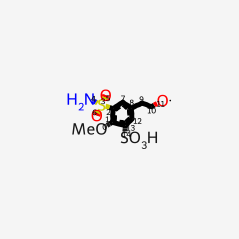 COc1c(S(N)(=O)=O)cc(CC[O])cc1S(=O)(=O)O